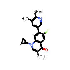 CC(=O)Nc1ncc(-c2cc3c(cc2F)c(=O)c(C(=O)O)cn3C2CC2)cc1C